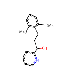 COc1cccc(OC)c1CCC(O)c1ccccn1